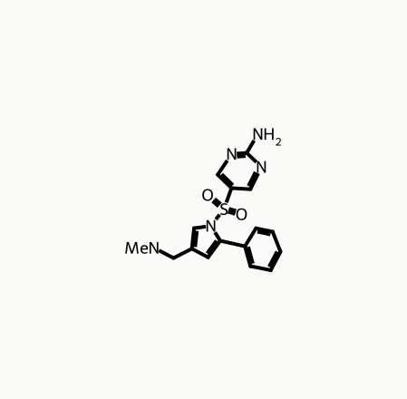 CNCc1cc(-c2ccccc2)n(S(=O)(=O)c2cnc(N)nc2)c1